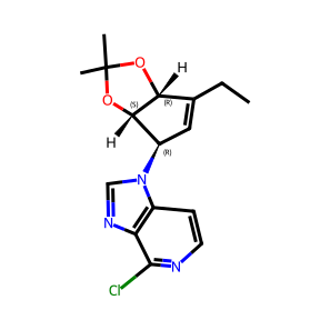 CCC1=C[C@@H](n2cnc3c(Cl)nccc32)[C@@H]2OC(C)(C)O[C@H]12